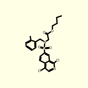 CCCCOC(=O)CN(Cc1ccccc1C)S(=O)(=O)c1ccc2c(Cl)cnc(Cl)c2c1